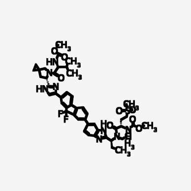 CC[C@@H](c1nc2ccc(-c3ccc4c(c3)C(F)(F)c3cc(-c5c[nH]c([C@@H]6CC7(CC7)CN6C(=O)[C@@H](NC(=O)OC)C(C)C)n5)ccc3-4)cc2[nH]1)N(CC)C(=O)[C@H](CCS(C)(=O)=O)NC(=O)OC